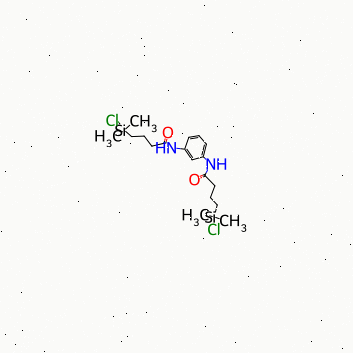 C[Si](C)(Cl)CCCC(=O)Nc1cccc(NC(=O)CCC[Si](C)(C)Cl)c1